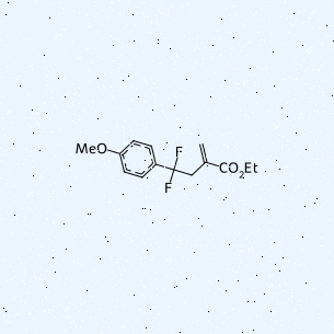 C=C(CC(F)(F)c1ccc(OC)cc1)C(=O)OCC